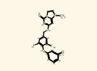 CN1CCn2c1cc(OCc1cc(F)c(Oc3cccc(Cl)c3)c(F)c1)nc2=O